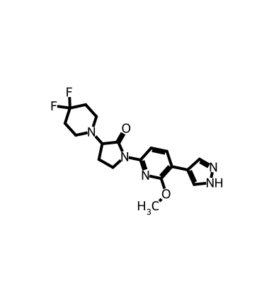 COc1nc(N2CCC(N3CCC(F)(F)CC3)C2=O)ccc1-c1cn[nH]c1